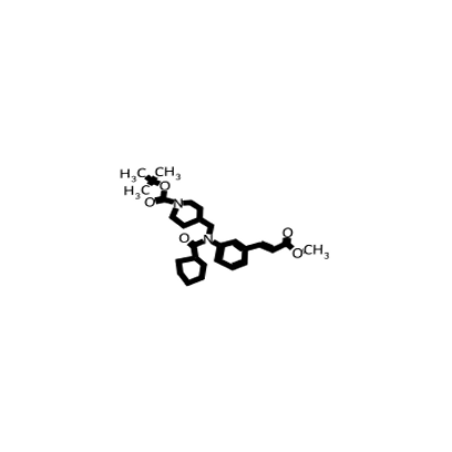 COC(=O)/C=C/c1cccc(N(CC2CCN(C(=O)OC(C)(C)C)CC2)C(=O)C2CCCCC2)c1